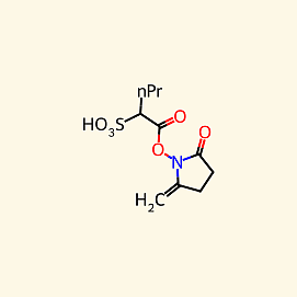 C=C1CCC(=O)N1OC(=O)C(CCC)S(=O)(=O)O